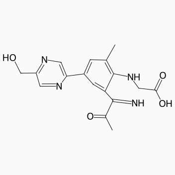 CC(=O)C(=N)c1cc(-c2cnc(CO)cn2)cc(C)c1NCC(=O)O